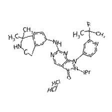 CC(C)n1c(=O)c2cnc(Nc3ccc4c(c3)CCNC4(C)C)nc2n1-c1ccnc(C(C)(C)F)c1.Cl.Cl